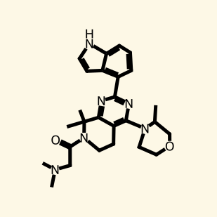 CC1COCCN1c1nc(-c2cccc3[nH]ccc23)nc2c1CCN(C(=O)CN(C)C)C2(C)C